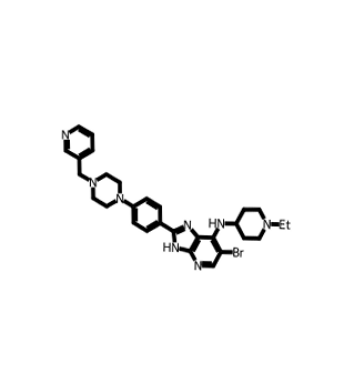 CCN1CCC(Nc2c(Br)cnc3[nH]c(-c4ccc(N5CCN(Cc6cccnc6)CC5)cc4)nc23)CC1